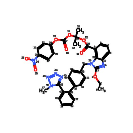 CCOc1nc2cccc(C(=O)OC(C)(C)OC(=O)Oc3ccc([N+](=O)[O-])cc3)c2n1Cc1ccc(-c2ccccc2-c2nnnn2C)cc1